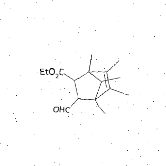 CCOC(=O)C1C(C=O)C2(C)C(C)=C(C)C1(C)C2C